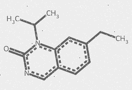 CCc1ccc2cnc(=O)n(C(C)C)c2c1